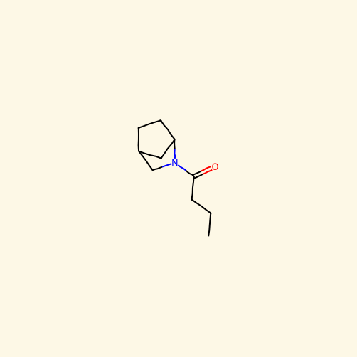 CCCC(=O)N1CC2CCC1C2